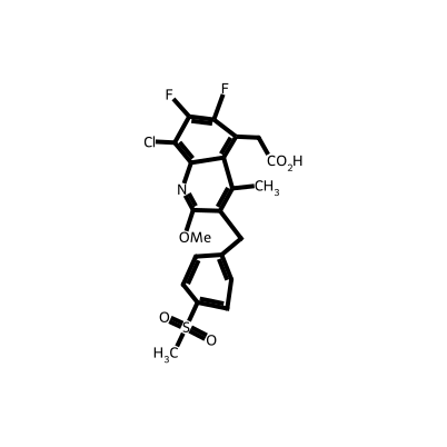 COc1nc2c(Cl)c(F)c(F)c(CC(=O)O)c2c(C)c1Cc1ccc(S(C)(=O)=O)cc1